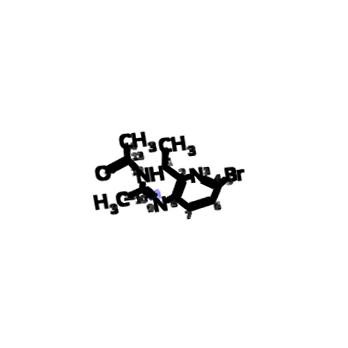 CCc1nc(Br)ccc1/N=C(/C)NC(C)=O